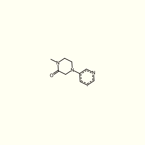 CN1CCN(c2c[c]cnc2)CC1=O